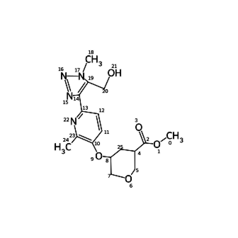 COC(=O)C1COCC(Oc2ccc(-c3nnn(C)c3CO)nc2C)C1